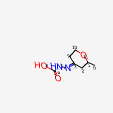 CC1CC(=NNC(=O)O)CCO1